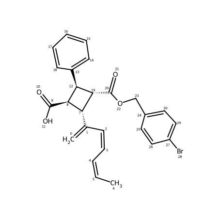 C=C(/C=C\C=C/C)[C@@H]1[C@@H](C(=O)O)[C@@H](c2ccccc2)[C@@H]1C(=O)OCc1ccc(Br)cc1